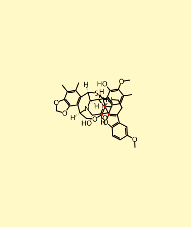 COc1ccc2oc3c(c2c1)CCN[C@]31CS[C@@H]2c3c(C)c(C)c4c(c3[C@H](COC1=O)N1[C@@H]2[C@@H]2c3c(cc(C)c(OC)c3O)C[C@H]([C@@H]1O)N2C)OCO4